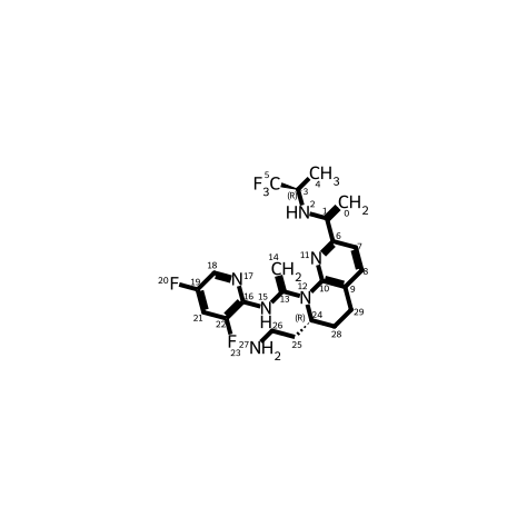 C=C(N[C@H](C)C(F)(F)F)c1ccc2c(n1)N(C(=C)Nc1ncc(F)cc1F)[C@@H](CCN)CC2